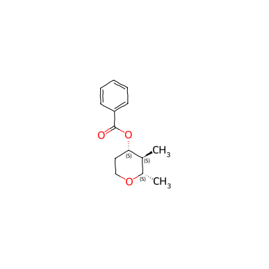 C[C@H]1[C@H](C)OCC[C@@H]1OC(=O)c1ccccc1